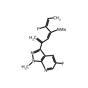 C=C(/C=C(NC)\C(F)=C/C)c1nn(C)c2ncc(F)cc12